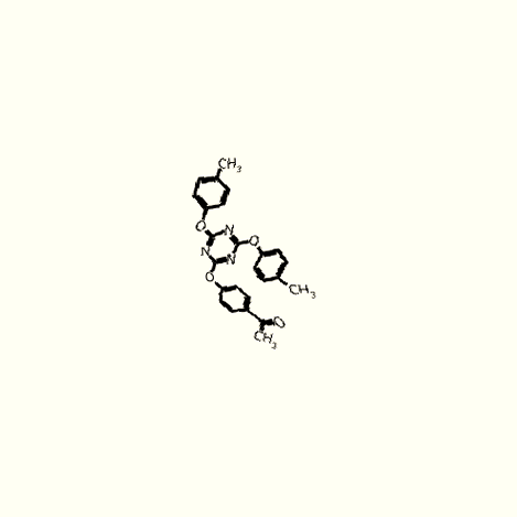 CC(=O)c1ccc(Oc2nc(Oc3ccc(C)cc3)nc(Oc3ccc(C)cc3)n2)cc1